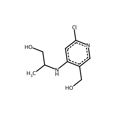 CC(CO)Nc1cc(Cl)ncc1CO